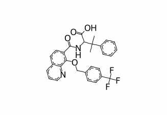 CC(C)(c1ccccc1)C(NC(=O)c1ccc2cccnc2c1OCc1ccc(C(F)(F)F)cc1)C(=O)O